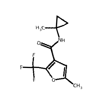 Cc1cc(C(=O)NC2(C)CC2)c(C(F)(F)F)o1